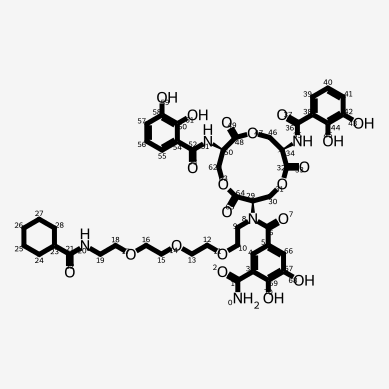 NC(=O)c1cc(C(=O)N(CCOCCOCCOCCNC(=O)C2CCCCC2)[C@@H]2COC(=O)[C@H](NC(=O)c3cccc(O)c3O)COC(=O)[C@H](NC(=O)c3cccc(O)c3O)COC2=O)cc(O)c1O